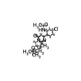 CC(=O)Nc1cc(Cl)ccc1-c1cc(=O)n(CC(=O)OC(C)(C)C)c(C)n1